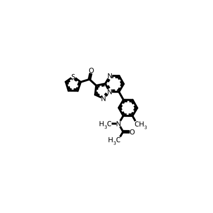 CC(=O)N(C)c1cc(-c2ccnc3c(C(=O)c4cccs4)cnn23)ccc1C